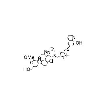 COC(=O)c1c(CCCO)c2ccc(Cl)c(-c3c(C)nn(C45CC4C5)c3CSCc3cc(CSc4cc(O)c5ncccc5c4)n(C)n3)c2n1C